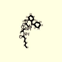 CCCCCC(=O)NC(C)C(=O)N[C@H]1N=C(c2ccccc2)c2ccccc2N(C)C1=O